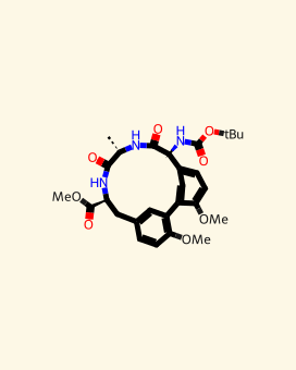 COC(=O)[C@@H]1Cc2ccc(OC)c(c2)-c2cc(ccc2OC)[C@H](NC(=O)OC(C)(C)C)C(=O)N[C@@H](C)C(=O)N1